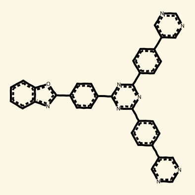 c1ccc2oc(-c3ccc(-c4nc(-c5ccc(-c6cncnc6)cc5)nc(-c5ccc(-c6cncnc6)cc5)n4)cc3)nc2c1